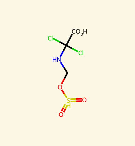 O=C(O)C(Cl)(Cl)NCO[SH](=O)=O